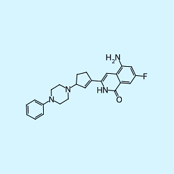 Nc1cc(F)cc2c(=O)[nH]c(C3=CC(N4CCN(c5ccccc5)CC4)CC3)cc12